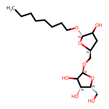 CCCCCCCCO[C@H]1O[C@H](CO[C@H]2O[C@H](CO)[C@H](O)C2O)CC1O